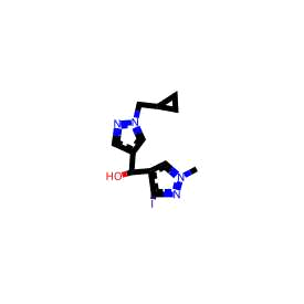 Cn1cc(C(O)c2cnn(CC3CC3)c2)c(I)n1